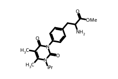 COC(=O)C(N)Cc1ccc(-n2c(=O)c(C)c(C)n(C(C)C)c2=O)cc1